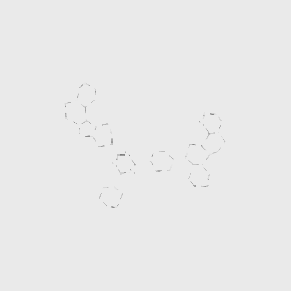 c1ccc(-c2nc(-c3ccc(-c4cc5c(ccc6cccnc65)c5ccccc45)cc3)nc(-c3ccc4c(c3)oc3ccc5ccccc5c34)n2)cc1